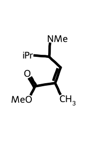 CNC(C=C(C)C(=O)OC)C(C)C